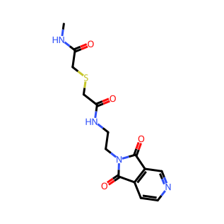 CNC(=O)CSCC(=O)NCCN1C(=O)c2ccncc2C1=O